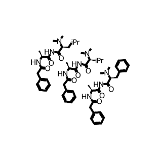 CC(C)C[C@@H](C(=O)NC(=O)[C@H](C)NC(=O)Cc1ccccc1)N(C)C.CC(C)[C@@H](C(=O)NC(=O)[C@H](C)NC(=O)Cc1ccccc1)N(C)C.C[C@H](NC(=O)Cc1ccccc1)C(=O)NC(=O)[C@H](Cc1ccccc1)N(C)C